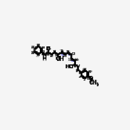 COc1ccc(CCC(O)/C=C/C=C\C=C\C(O)CCC(=O)Nc2ccccc2)cc1